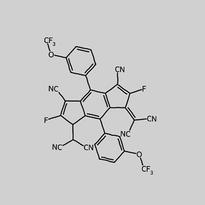 N#CC(C#N)=C1C(F)=C(C#N)c2c1c(-c1cccc(OC(F)(F)F)c1)c1c(c2-c2cccc(OC(F)(F)F)c2)C(C#N)=C(F)C1C(C#N)C#N